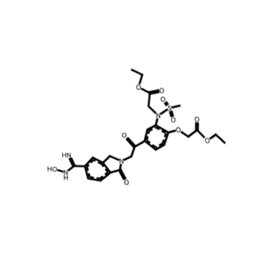 CCOC(=O)COc1ccc(C(=O)CN2Cc3cc(C(=N)NO)ccc3C2=O)cc1N(CC(=O)OCC)S(C)(=O)=O